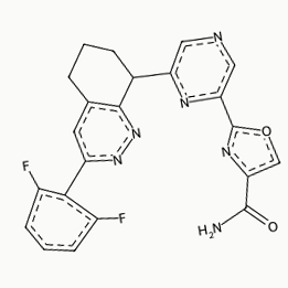 NC(=O)c1coc(-c2cncc(C3CCCc4cc(-c5c(F)cccc5F)nnc43)n2)n1